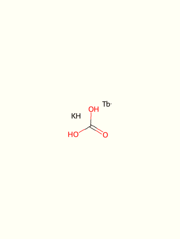 O=C(O)O.[KH].[Tb]